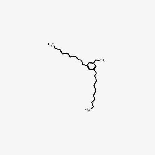 CCCCCCCCCCc1cc(CC)cc(CCCCCCCCCC)c1